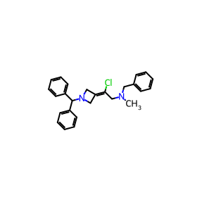 CN(CC(Cl)=C1CN(C(c2ccccc2)c2ccccc2)C1)Cc1ccccc1